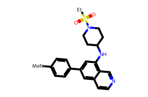 CCS(=O)(=O)N1CCC(Nc2cc(-c3ccc(NC)cc3)cc3ccncc23)CC1